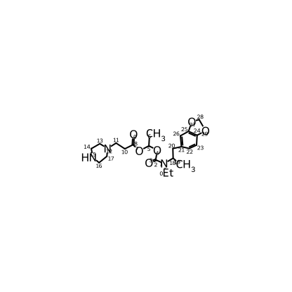 CCN(C(=O)OC(C)OC(=O)CCN1CCNCC1)C(C)Cc1ccc2c(c1)OCO2